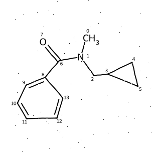 CN(CC1CC1)C(=O)c1ccccc1